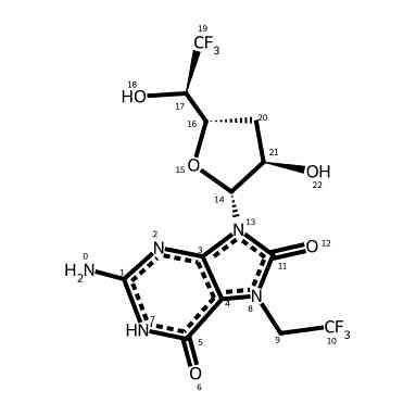 Nc1nc2c(c(=O)[nH]1)n(CC(F)(F)F)c(=O)n2[C@@H]1O[C@H]([C@@H](O)C(F)(F)F)C[C@H]1O